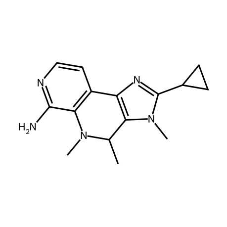 CC1c2c(nc(C3CC3)n2C)-c2ccnc(N)c2N1C